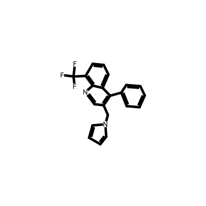 FC(F)(F)c1cccc2c(-c3ccccc3)c(Cn3cccc3)cnc12